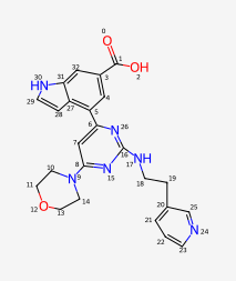 O=C(O)c1cc(-c2cc(N3CCOCC3)nc(NCCc3cccnc3)n2)c2cc[nH]c2c1